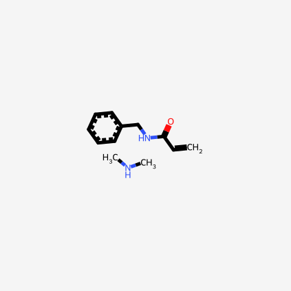 C=CC(=O)NCc1ccccc1.CNC